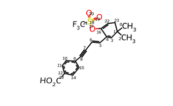 CC1(C)C=C(C=CC#Cc2ccc(C(=O)O)cc2)C(OS(=O)(=O)C(F)(F)F)=CC1